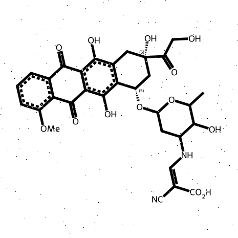 COc1cccc2c1C(=O)c1c(O)c3c(c(O)c1C2=O)C[C@@](O)(C(=O)CO)C[C@@H]3OC1CC(NC=C(C#N)C(=O)O)C(O)C(C)O1